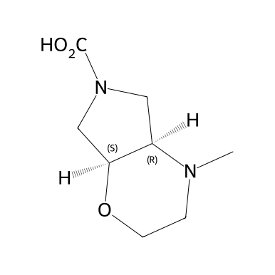 CN1CCO[C@H]2CN(C(=O)O)C[C@H]21